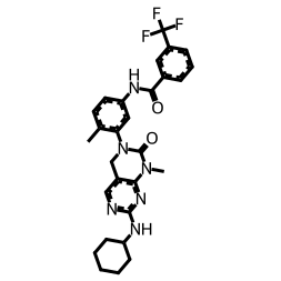 Cc1ccc(NC(=O)c2cccc(C(F)(F)F)c2)cc1N1Cc2cnc(NC3CCCCC3)nc2N(C)C1=O